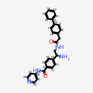 NC(CNC(=O)Cc1ccc(-c2ccccc2)cc1)c1ccc(C(=O)Nc2ccncc2)cc1